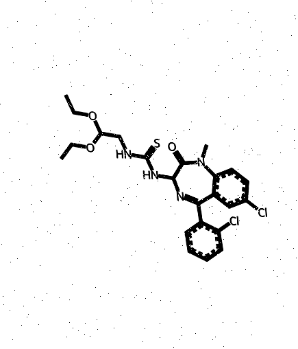 CCOC(CNC(=S)NC1N=C(c2ccccc2Cl)c2cc(Cl)ccc2N(C)C1=O)OCC